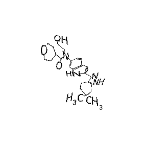 CC1(C)CCc2c(-c3cc4ccc(N(CCO)C(=O)C5CCOCC5)cc4[nH]3)n[nH]c2C1